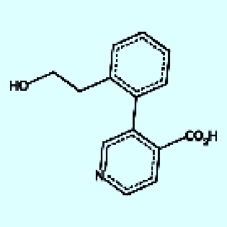 O=C(O)c1ccncc1-c1ccccc1CCO